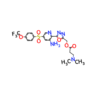 CN(C)CCC(=O)OCc1nnc(-c2ncc(S(=O)(=O)c3ccc(OC(F)(F)F)cc3)cc2N)o1